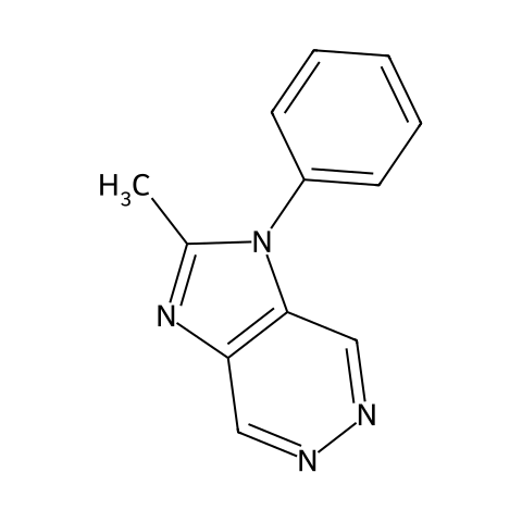 Cc1nc2cnncc2n1-c1ccccc1